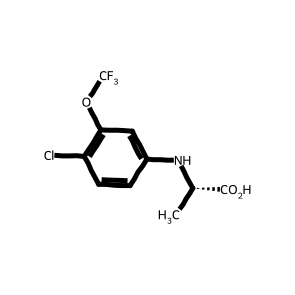 C[C@H](Nc1ccc(Cl)c(OC(F)(F)F)c1)C(=O)O